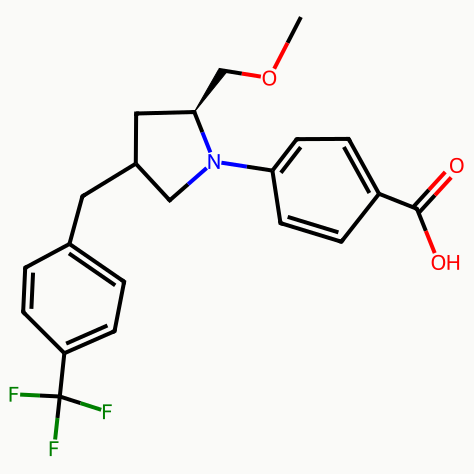 COC[C@@H]1CC(Cc2ccc(C(F)(F)F)cc2)CN1c1ccc(C(=O)O)cc1